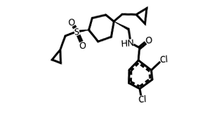 O=C(NC[C@]1(CC2CC2)CC[C@H](S(=O)(=O)CC2CC2)CC1)c1ccc(Cl)cc1Cl